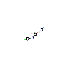 COc1cc(OCc2ccc(C(F)(F)F)cn2)ccc1-c1c[nH]c(-c2ccc(Cl)cc2)n1